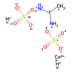 CC(N)N.O=S(=O)([O-])[O-].O=S(=O)([O-])[O-].[Cu+2].[H+].[H+]